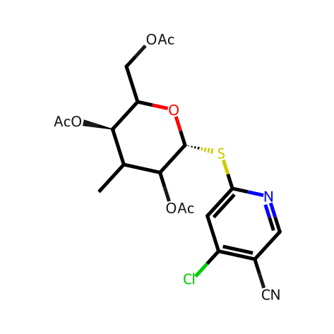 CC(=O)OCC1O[C@H](Sc2cc(Cl)c(C#N)cn2)C(OC(C)=O)C(C)[C@H]1OC(C)=O